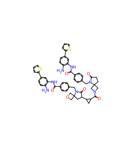 Nc1ccc(-c2cccs2)cc1NC(=O)c1ccc(CN2C(=O)CCC23CN(C(=O)C2CC2C2CC4(COC4)N(Cc4ccc(C(=O)Nc5cc(-c6cccs6)ccc5N)cc4)C2=O)C3)cc1